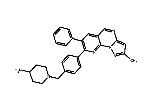 Cc1cc2ncc3cc(-c4ccccc4)c(-c4ccc(CN5CCC(N)CC5)cc4)nc3n2n1